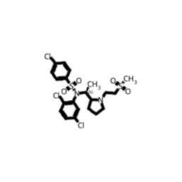 C[C@@H](C1CCCN1CCS(C)(=O)=O)N(c1cc(Cl)ccc1Cl)S(=O)(=O)c1ccc(Cl)cc1